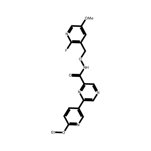 CCOc1ccc(-c2cncc(C(=O)NOCc3cc(OC)cnc3F)n2)cn1